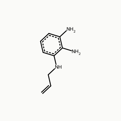 C=CCNc1cccc(N)c1N